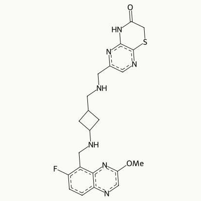 COc1cnc2ccc(F)c(CNC3CC(CNCc4cnc5c(n4)NC(=O)CS5)C3)c2n1